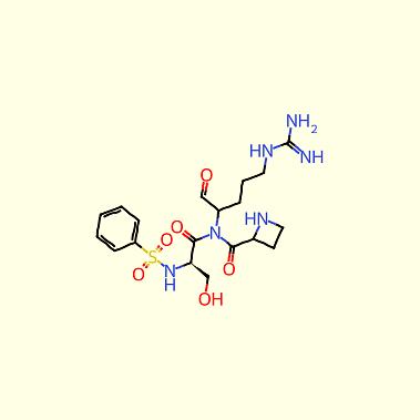 N=C(N)NCCCC(C=O)N(C(=O)C1CCN1)C(=O)[C@@H](CO)NS(=O)(=O)c1ccccc1